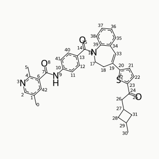 Cc1cnc(C)c(C(=O)Nc2ccc(C(=O)N3CCC(c4ccc(C(=O)CC5CC(C)C5)s4)=Cc4ccccc43)cc2)c1